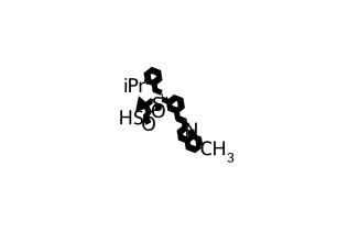 Cc1ccc2ccc(/C=C/c3cccc([C@@H](CCc4ccccc4C(C)C)[S+]([O-])CC4(CC(=O)S)CC4)c3)nc2c1